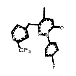 Cc1cc(=O)n(-c2ccc(F)cc2)nc1Cc1ccnc(C(F)(F)F)c1